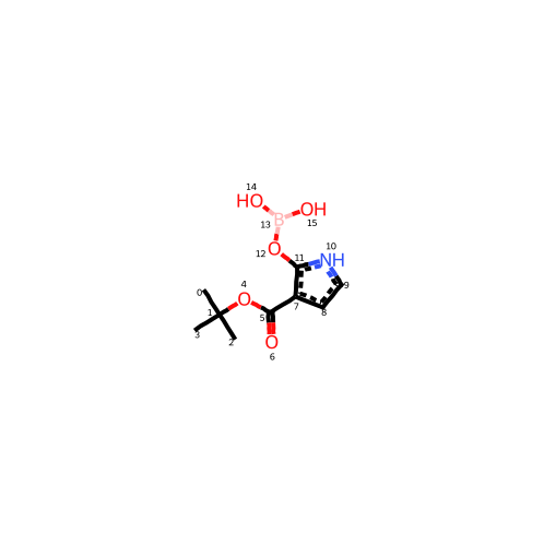 CC(C)(C)OC(=O)c1cc[nH]c1OB(O)O